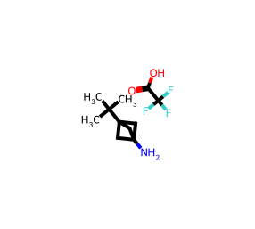 CC(C)(C)C12CC(N)(C1)C2.O=C(O)C(F)(F)F